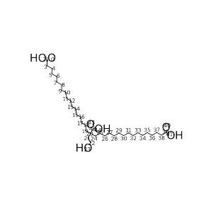 O=C(O)CCCCCCCCCCCCCCCCCC(CCO)(CCCCCCCCCCCCCCCC(=O)O)C(=O)O